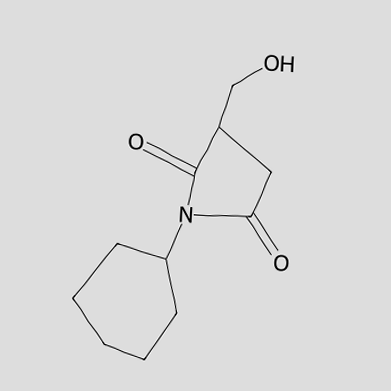 O=C1CC(CO)C(=O)N1C1CCCCC1